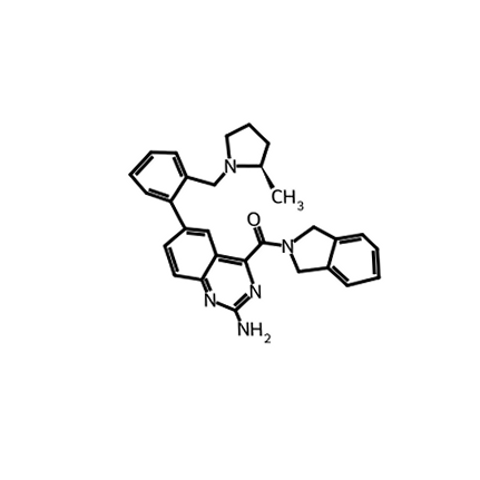 C[C@@H]1CCCN1Cc1ccccc1-c1ccc2nc(N)nc(C(=O)N3Cc4ccccc4C3)c2c1